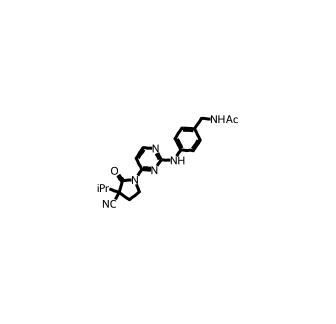 CC(=O)NCc1ccc(Nc2nccc(N3CCC(C#N)(C(C)C)C3=O)n2)cc1